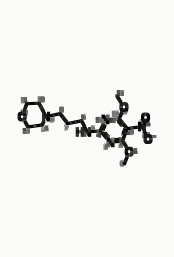 COc1nc(NCCCN2CCOCC2)nc(OC)c1[N+](=O)[O-]